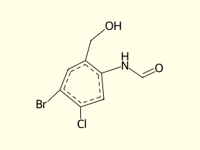 O=CNc1cc(Cl)c(Br)cc1CO